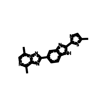 Cc1cnc(-c2nc3cc(-c4nc5c(C)ncc(C)n5n4)ccc3[nH]2)s1